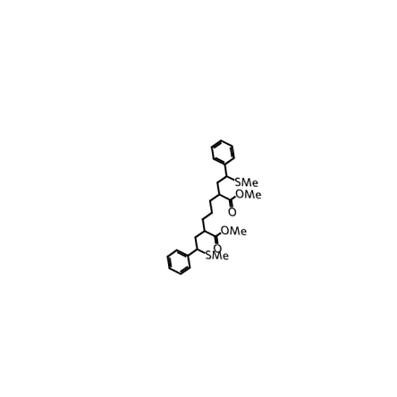 COC(=O)C(CCCC(CC(SC)c1ccccc1)C(=O)OC)CC(SC)c1ccccc1